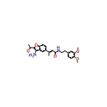 COc1ccc(CCNC(=O)/C=C(\C)c2ccc3oc(C(C)=O)c(N)c3c2)cc1OC